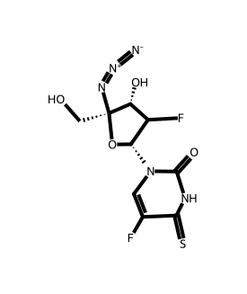 [N-]=[N+]=N[C@]1(CO)O[C@@H](n2cc(F)c(=S)[nH]c2=O)C(F)[C@H]1O